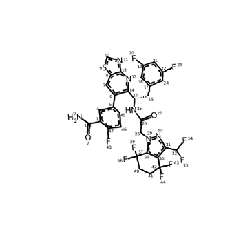 NC(=O)c1cc(-c2cc3scnc3nc2[C@H](Cc2cc(F)cc(F)c2)NC(=O)Cn2nc(C(F)F)c3c2C(F)(F)CCC3(F)F)ccc1F